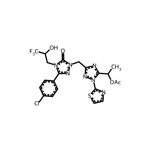 CC(=O)OC(C)c1nc(Cn2nc(-c3ccc(Cl)cc3)n(CC(O)C(F)(F)F)c2=O)nn1-c1nccs1